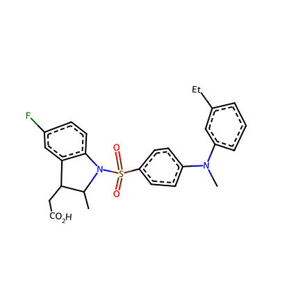 CCc1cccc(N(C)c2ccc(S(=O)(=O)N3c4ccc(F)cc4C(CC(=O)O)C3C)cc2)c1